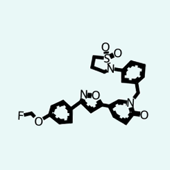 O=c1ccc(-c2cc(-c3ccc(OCF)cc3)no2)cn1Cc1cccc(N2CCCS2(=O)=O)c1